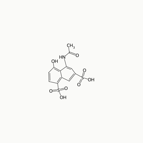 CC(=O)Nc1cc(S(=O)(=O)O)cc2c(S(=O)(=O)O)ccc(O)c12